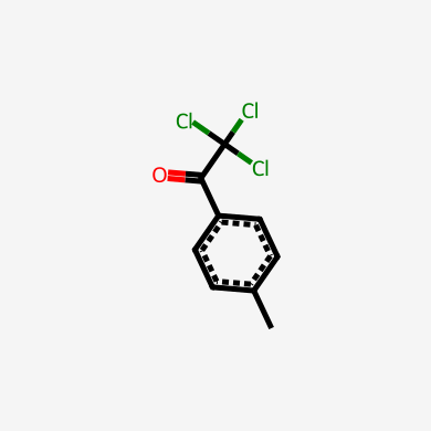 Cc1ccc(C(=O)C(Cl)(Cl)Cl)cc1